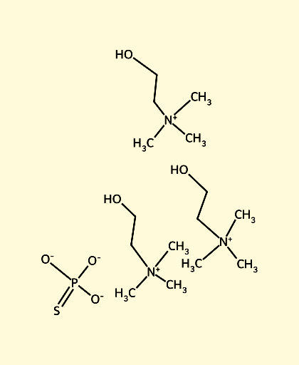 C[N+](C)(C)CCO.C[N+](C)(C)CCO.C[N+](C)(C)CCO.[O-]P([O-])([O-])=S